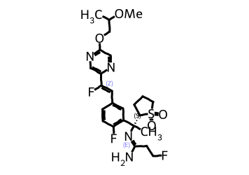 COC(C)COc1cnc(/C(F)=C/c2ccc(F)c(C(C)(/N=C(/N)CCF)[C@@H]3CCCS3(=O)=O)c2)cn1